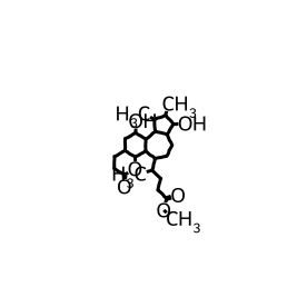 COC(=O)CCC(C)C1CCC2C(O)C(C)C(C)C2C2C(O)CC3CCC(=O)OC3C12